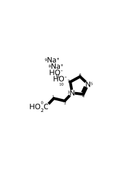 O=C(O)CCN1C=NCC1.[Na+].[Na+].[OH-].[OH-]